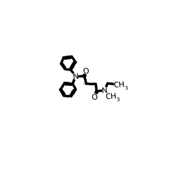 CCN(C)C(=O)C[CH]C(=O)N(c1ccccc1)c1ccccc1